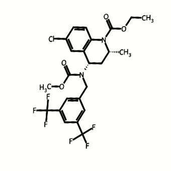 CCOC(=O)N1c2ccc(Cl)cc2[C@@H](N(Cc2cc(C(F)(F)F)cc(C(F)(F)F)c2)C(=O)OC)C[C@H]1C